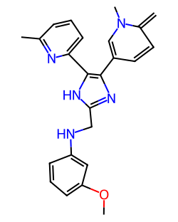 C=C1C=CC(c2nc(CNc3cccc(OC)c3)[nH]c2-c2cccc(C)n2)=CN1C